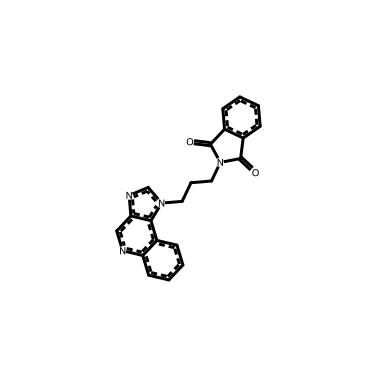 O=C1c2ccccc2C(=O)N1CCCn1cnc2cnc3ccccc3c21